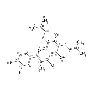 CC(C)=CCc1c(O)c(CC=C(C)C)c2oc(-c3ccc(F)c(F)c3)c(C)c(=O)c2c1O